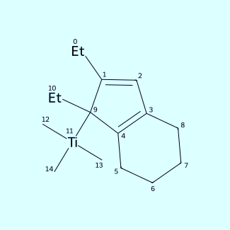 CCC1=CC2=C(CCCC2)[C]1(CC)[Ti]([CH3])([CH3])[CH3]